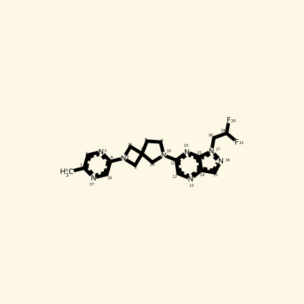 Cc1cnc(N2CC3(CCN(c4cnc5cnn(CC(F)F)c5n4)C3)C2)cn1